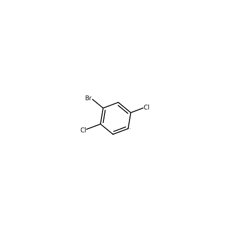 Clc1[c]cc(Cl)c(Br)c1